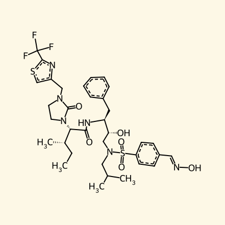 CC[C@H](C)[C@@H](C(=O)N[C@@H](Cc1ccccc1)[C@H](O)CN(CC(C)C)S(=O)(=O)c1ccc(/C=N/O)cc1)N1CCN(Cc2csc(C(F)(F)F)n2)C1=O